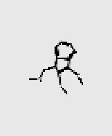 COCC1C(OC)=C(OC)c2ccccc21